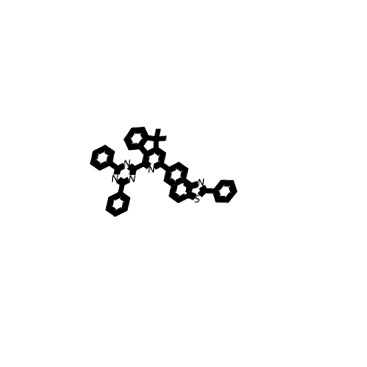 CC1(C)c2ccccc2-c2c1cc(-c1ccc3c(ccc4sc(-c5ccccc5)nc43)c1)nc2-c1nc(-c2ccccc2)nc(-c2ccccc2)n1